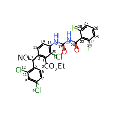 CCOC(=O)c1c([C@H](C#N)c2ccc(Cl)cc2Cl)ccc(NC(=O)NC(=O)c2c(F)cccc2F)c1Cl